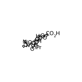 CC(C)C1=C2[C@H]3CC[C@@H]4[C@@]5(C)CC[C@H](OC(=O)CC(C)(C)C(=O)O)C(C)(C)[C@@H]5CC[C@@]4(C)[C@]3(C)CCC2(C(O)CN(CCN(C)C)CC2CCC2)CC1=O